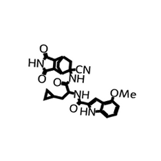 COc1cccc2[nH]c(C(=O)NC(CC3CC3)C(=O)NC3(C#N)CC4CCC3C3C(=O)NC(=O)C43)cc12